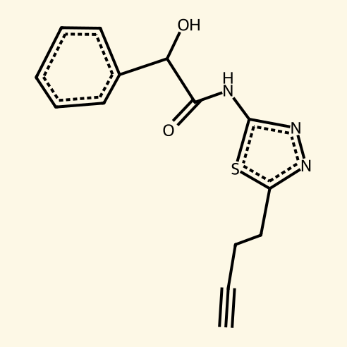 C#CCCc1nnc(NC(=O)C(O)c2ccccc2)s1